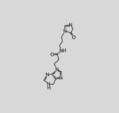 O=C(CCn1cnc2c1N=CNC2)NCCCN1C=NCC1=O